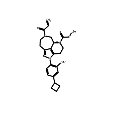 C=CC(=O)N1CCc2nn(-c3ccc(C4CCC4)cc3OC(C)=O)c3c2[C@H](C1)N(C(=O)OC(C)(C)C)CC3